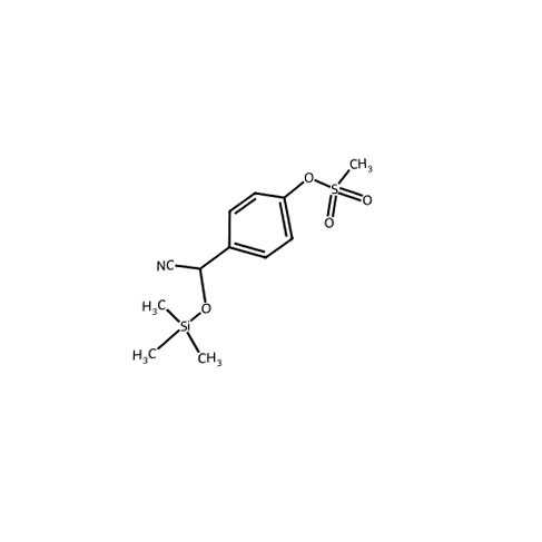 C[Si](C)(C)OC(C#N)c1ccc(OS(C)(=O)=O)cc1